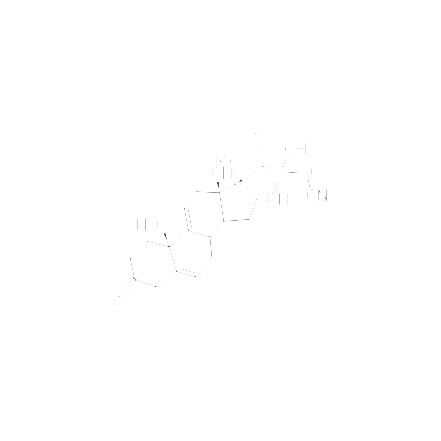 C[C@]12C=CC(=O)CC1=CCC1C2=CC[C@@]2(C)C1CC[C@]2(O)[C@H](Cl)[Si](C)(C)OC#N